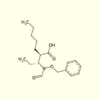 CCCCC[C@@H](C(=O)O)[C@@H](CC)N(C=O)OCc1ccccc1